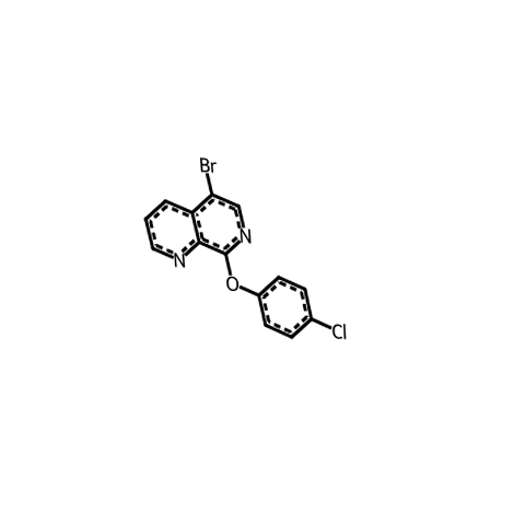 Clc1ccc(Oc2ncc(Br)c3cccnc23)cc1